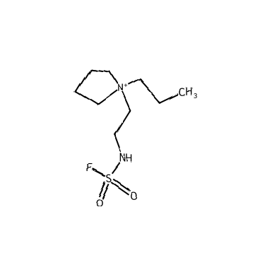 CCC[N+]1(CCNS(=O)(=O)F)CCCC1